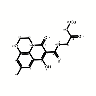 Cc1cc2c3c(c1)c(O)c(C(=O)NCC(=O)OC(C)(C)C)c(=O)n3CCO2